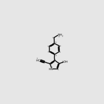 C#Cc1[nH]cc(O)c1-c1ccc(CN)cc1